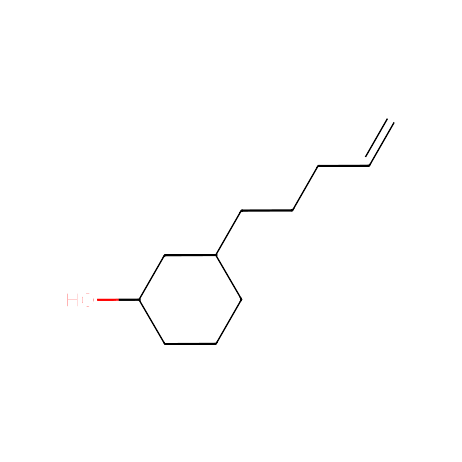 C=CCCCC1CCCC(O)C1